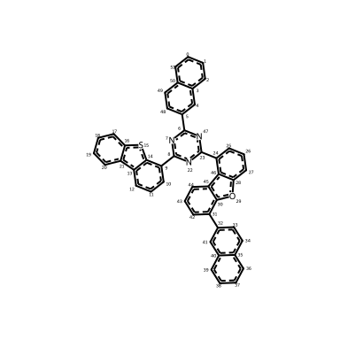 c1ccc2cc(-c3nc(-c4cccc5c4sc4ccccc45)nc(-c4cccc5oc6c(-c7ccc8ccccc8c7)cccc6c45)n3)ccc2c1